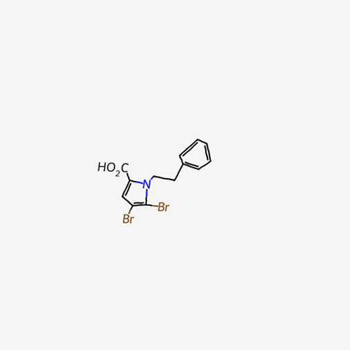 O=C(O)c1cc(Br)c(Br)n1CCc1ccccc1